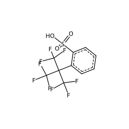 O=S(=O)(O)c1ccccc1C(C(F)(F)F)(C(F)(F)F)C(F)(F)F